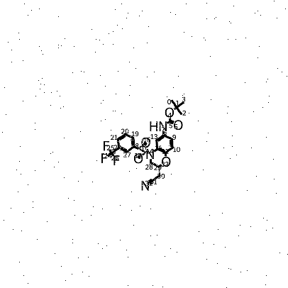 CC(C)(C)OC(=O)Nc1ccc2c(c1)N(S(=O)(=O)c1cccc(C(F)(F)F)c1)C[C@H](CC#N)O2